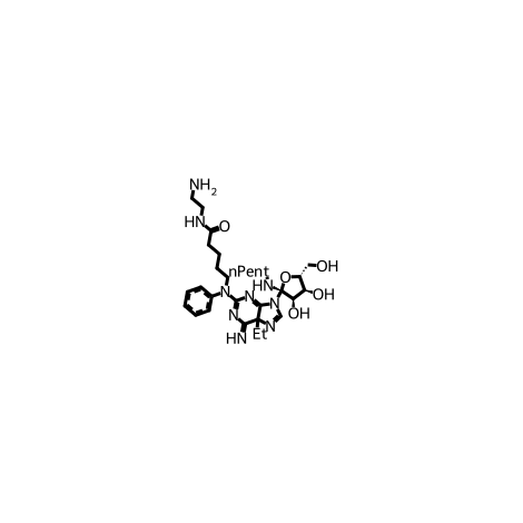 CCCCCN[C@@]1(N2C=NC3(CC)C(=N)N=C(N(CCCCC(=O)NCCN)c4ccccc4)N=C23)O[C@H](CO)[C@@H](O)[C@H]1O